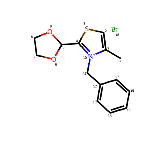 Cc1csc(C2OCCO2)[n+]1Cc1ccccc1.[Br-]